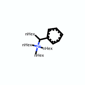 CCCCCCC(c1ccccc1)[N+](CCCCCC)(CCCCCC)CCCCCC